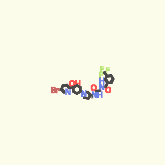 O=C(CNC(=O)c1cccc(C(F)(F)F)c1)N[C@@H]1CCN(C2CCC(O)(c3ccc(Br)cn3)CC2)C1